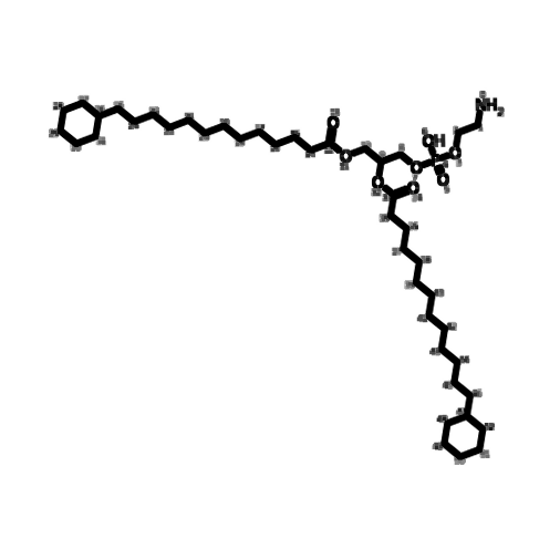 NCCOP(=O)(O)OCC(COC(=O)CCCCCCCCCCCCC1CCCCC1)OC(=O)CCCCCCCCCCCCC1CCCCC1